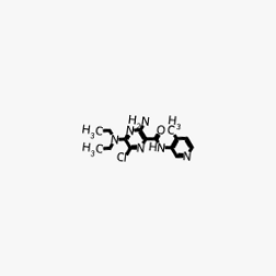 CCN(CC)c1nc(N)c(C(=O)Nc2cnccc2C)nc1Cl